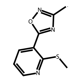 [CH2]c1noc(-c2cccnc2SC)n1